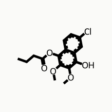 CCCC(=O)Oc1c(OC)c(OC)c(O)c2cc(Cl)ccc12